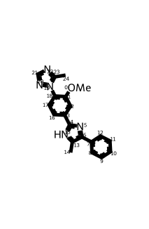 COc1cc(-c2nc(-c3ccccc3)c(C)[nH]2)ccc1-n1ncnc1C